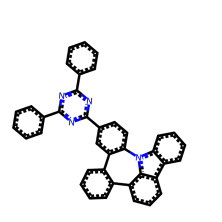 c1ccc(-c2nc(-c3ccccc3)nc(-c3ccc4c(c3)-c3ccccc3-c3cccc5c6ccccc6n-4c35)n2)cc1